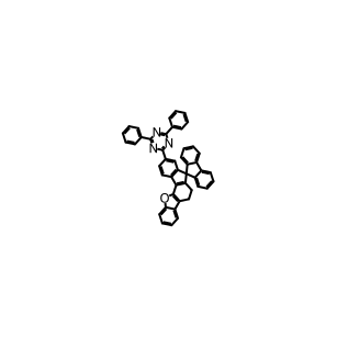 c1ccc(-c2nc(-c3ccccc3)nc(-c3ccc4c(c3)C3(C5=C4c4oc6ccccc6c4CC5)c4ccccc4-c4ccccc43)n2)cc1